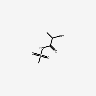 CCCC(C)C(=O)NS(C)(=O)=O